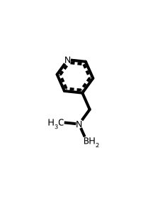 BN(C)Cc1ccncc1